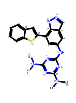 CCN(CC)c1nc(Nc2cc(-c3cc4ccccc4s3)c3[nH]ncc3c2)nc(N(CC)CC)n1